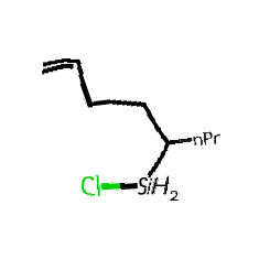 C=CCCC(CCC)[SiH2]Cl